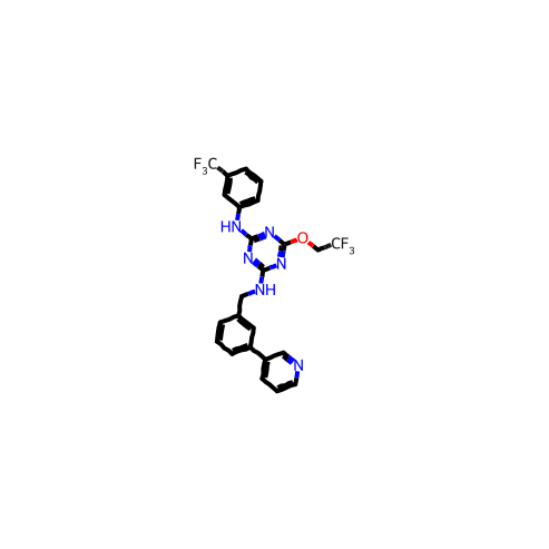 FC(F)(F)COc1nc(NCc2cccc(-c3cccnc3)c2)nc(Nc2cccc(C(F)(F)F)c2)n1